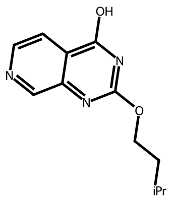 CC(C)CCOc1nc(O)c2ccncc2n1